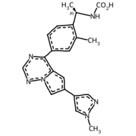 Cc1cc(-c2ncnn3cc(-c4cnn(C)c4)cc23)ccc1[C@@H](C)NC(=O)O